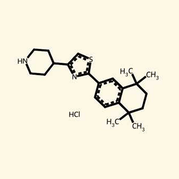 CC1(C)CCC(C)(C)c2cc(-c3nc(C4CCNCC4)cs3)ccc21.Cl